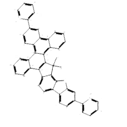 CC1(C)c2c(ccc3c2oc2cc(-c4ccccn4)ccc23)-c2c1c1c3ccccc3c3cc(-c4ccccn4)ccc3c1c1ccccc21